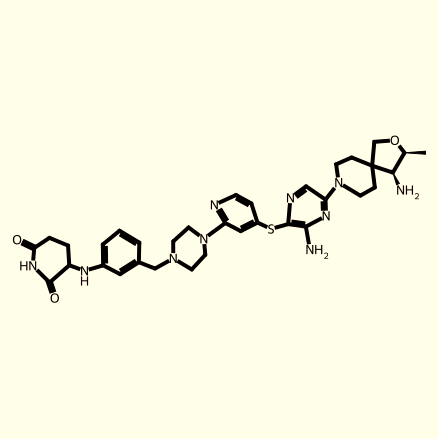 C[C@@H]1OCC2(CCN(c3cnc(Sc4ccnc(N5CCN(Cc6cccc(NC7CCC(=O)NC7=O)c6)CC5)c4)c(N)n3)CC2)[C@@H]1N